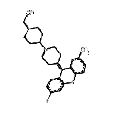 OCC1CCC(N2CCC(=C3c4ccc(F)cc4Sc4ccc(C(F)(F)F)cc43)CC2)CC1